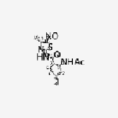 CC(=O)Nc1cc(I)ccc1C(=O)Nc1nc(C)c(N=O)s1